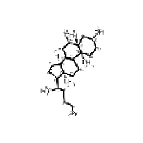 CC(C)CCC[C@@H](C)[C@H]1CC[C@H]2C3=C(CC[C@]12C)[C@@]1(C)CC[C@H](O)C[C@H]1[C@H](O)C3